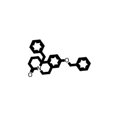 O=C1CCCC2(Cc3ccccc3)c3ccc(OCc4ccccc4)cc3CCN12